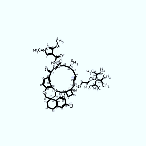 COc1nn(C)cc1C(=O)N[S@@]1(=O)=NC(=O)c2ccc3c(c2)N(C[C@@H]2CC[C@H]2[C@@H](OCCO[Si](C(C)C)(C(C)C)C(C)C)/C=C/C[C@H](C)C1)C[C@@]1(CCCc2cc(Cl)ccc21)CO3